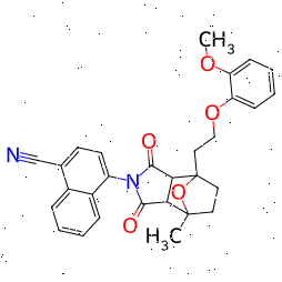 COc1ccccc1OCCC12CCC(C)(O1)C1C(=O)N(c3ccc(C#N)c4ccccc34)C(=O)C12